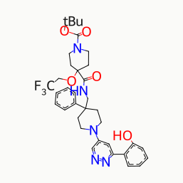 CC(C)(C)OC(=O)N1CCC(OCC(F)(F)F)(C(=O)NCC2(c3ccccc3)CCN(c3cnnc(-c4ccccc4O)c3)CC2)CC1